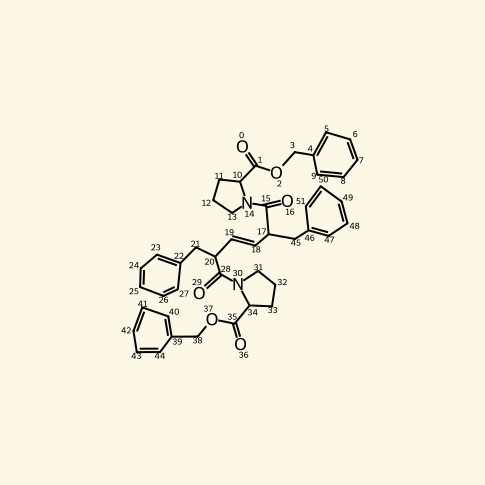 O=C(OCc1ccccc1)C1CCCN1C(=O)C(C=CC(Cc1ccccc1)C(=O)N1CCCC1C(=O)OCc1ccccc1)Cc1ccccc1